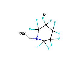 O=C([O-])CN1C(F)(F)C(F)(F)C(F)(F)C(F)(F)C1(F)F.[K+]